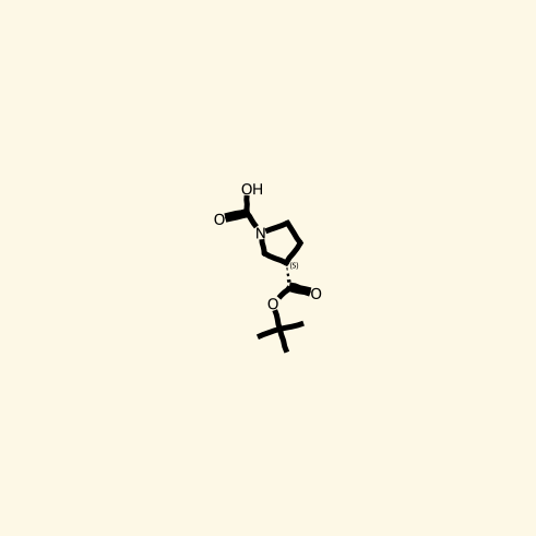 CC(C)(C)OC(=O)[C@H]1CCN(C(=O)O)C1